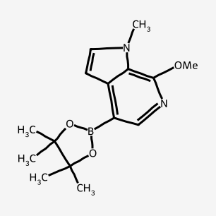 COc1ncc(B2OC(C)(C)C(C)(C)O2)c2ccn(C)c12